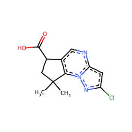 CC1(C)CC(C(=O)O)c2cnc3cc(Cl)nn3c21